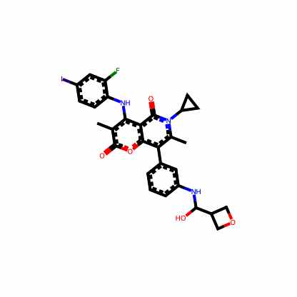 Cc1c(Nc2ccc(I)cc2F)c2c(=O)n(C3CC3)c(C)c(-c3cccc(NC(O)C4COC4)c3)c2oc1=O